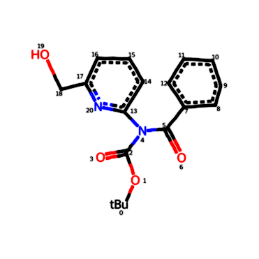 CC(C)(C)OC(=O)N(C(=O)c1ccccc1)c1cccc(CO)n1